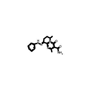 Cc1nc2n(c(=O)c1C(N)=O)C(C)CCC2=NNc1ccccc1